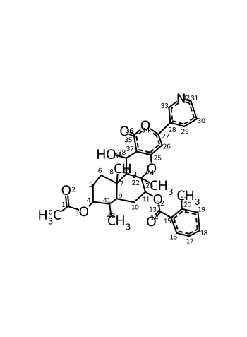 CC(=O)OC1CCC2(C)C(CC(OC(=O)c3ccccc3C)C3(C)Oc4cc(-c5cccnc5)oc(=O)c4C(O)C23)C1C